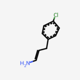 NC=CCc1ccc(Cl)cc1